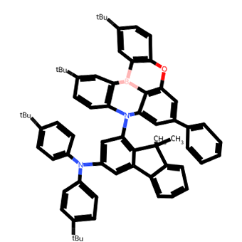 CC(C)(C)c1ccc(N(c2ccc(C(C)(C)C)cc2)c2cc3c(c(N4c5ccc(C(C)(C)C)cc5B5c6cc(C(C)(C)C)ccc6Oc6cc(-c7ccccc7)cc4c65)c2)C(C)(C)c2ccccc2-3)cc1